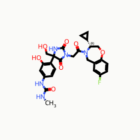 CNC(=O)Nc1ccc(C2(CO)NC(=O)N(CC(=O)N3Cc4cc(F)ccc4OC[C@H]3C3CC3)C2=O)c(O)c1